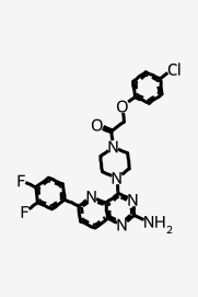 Nc1nc(N2CCN(C(=O)COc3ccc(Cl)cc3)CC2)c2nc(-c3ccc(F)c(F)c3)ccc2n1